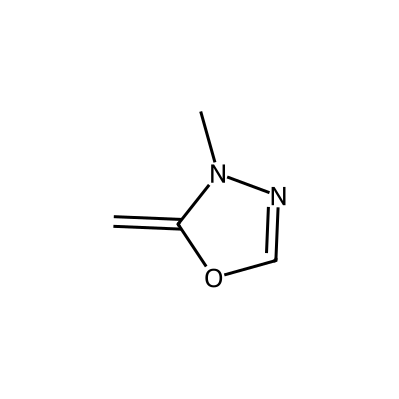 C=C1OC=NN1C